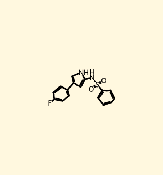 O=S(=O)(Nc1cc(-c2ccc(F)cc2)c[nH]1)c1ccccc1